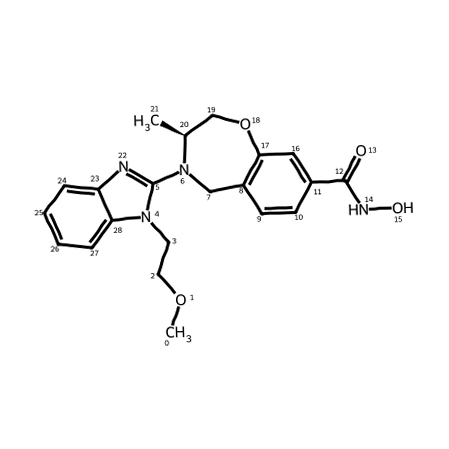 COCCn1c(N2Cc3ccc(C(=O)NO)cc3OC[C@@H]2C)nc2ccccc21